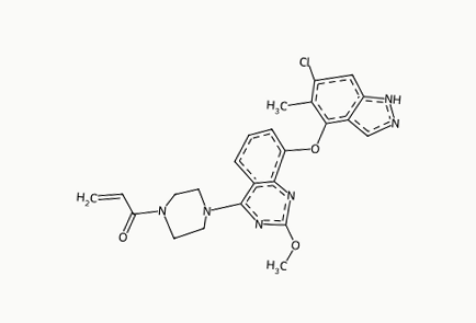 C=CC(=O)N1CCN(c2nc(OC)nc3c(Oc4c(C)c(Cl)cc5[nH]ncc45)cccc23)CC1